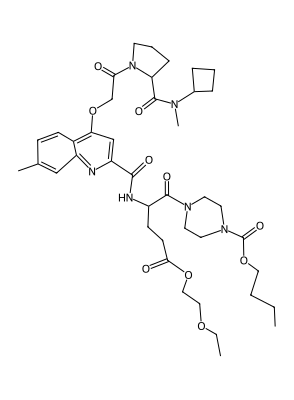 CCCCOC(=O)N1CCN(C(=O)C(CCC(=O)OCCOCC)NC(=O)c2cc(OCC(=O)N3CCCC3C(=O)N(C)C3CCC3)c3ccc(C)cc3n2)CC1